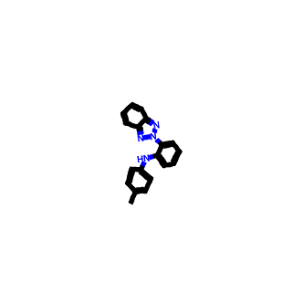 Cc1ccc(Nc2ccccc2-n2nc3ccccc3n2)cc1